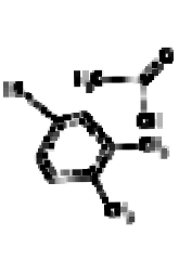 CC(=O)O.Cc1ccc(S)cc1C